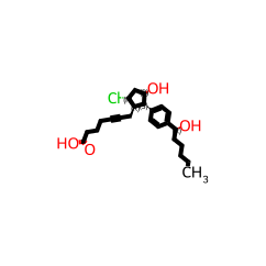 CCCCC[C@@H](O)c1ccc([C@@H]2[C@@H](CC#CCCCC(=O)O)[C@H](Cl)C[C@H]2O)cc1